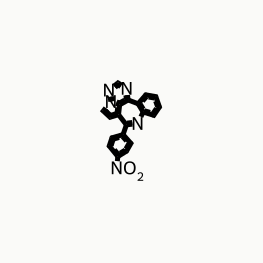 O=[N+]([O-])c1ccc(C2=Nc3ccccc3-c3ncnn4ccc2c34)cc1